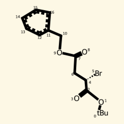 CC(C)(C)OC(=O)[C@@H](Br)CC(=O)OCc1ccccc1